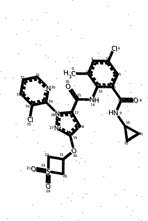 Cc1cc(Cl)cc(C(=O)NC2CC2)c1NC(=O)c1cc(OC2CS(=O)(=O)C2)nn1-c1ncccc1Cl